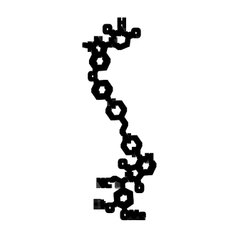 CCOc1cc([C@@H](CC#N)N2C(=O)c3ccnc(N4CCN(CCC5CCN(c6ccc(Oc7ccc8c(N9CCC(=O)NC9=O)nn(C)c8c7)cc6)CC5)CC4)c3C2=O)ccc1OC